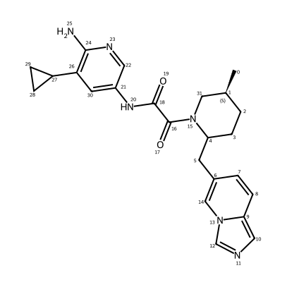 C[C@H]1CCC(Cc2ccc3cncn3c2)N(C(=O)C(=O)Nc2cnc(N)c(C3CC3)c2)C1